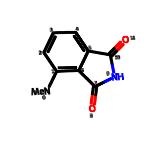 CNc1cccc2c1C(=O)NC2=O